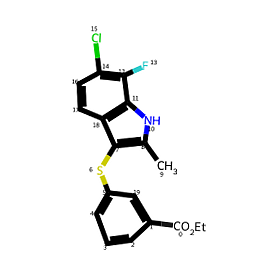 CCOC(=O)c1cccc(Sc2c(C)[nH]c3c(F)c(Cl)ccc23)c1